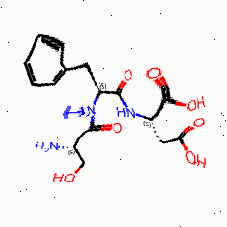 N[C@@H](CO)C(=O)N[C@@H](Cc1ccccc1)C(=O)N[C@@H](CC(=O)O)C(=O)O